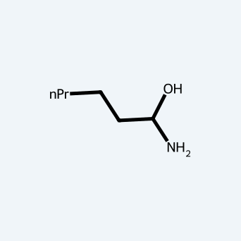 CCCCCC(N)O